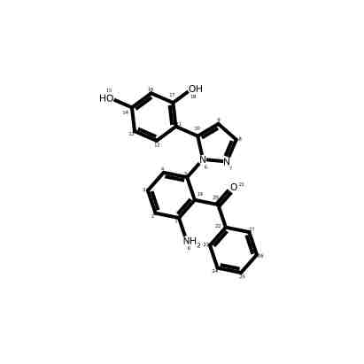 Nc1cccc(-n2nccc2-c2ccc(O)cc2O)c1C(=O)c1ccccc1